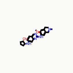 COc1cc2c(cc1Nc1ncc3ccc(N[C@H]4CCC[C@@H]4O)cc3n1)CN(C)CC2